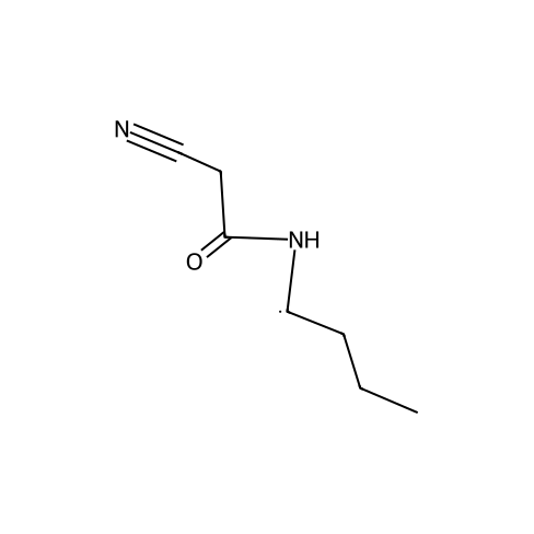 CCC[CH]NC(=O)CC#N